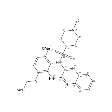 COCCc1ccc(OC)cc1Nc1nc2ccccc2nc1NS(=O)(=O)C1CCN(C(C)=O)CC1